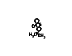 CN(C)c1ccc2sc3ccccc3c(=O)c2c1